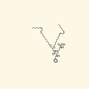 CCCCC/C=C\C/C=C\CCCCCCCCOCC(CNC(=O)[C@@H](CCCCNC(=O)O)NCc1ccccc1)OCCCCCCCC/C=C\C/C=C\CCCCC